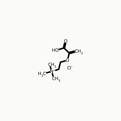 C=C(OCC[N+](C)(C)C)C(=O)O.[Cl-]